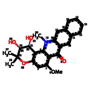 COc1cc2c(c3c1c(=O)c1cc4ccccc4cc1n3C)[C@@H](O)[C@@H](O)C(C)(C)O2